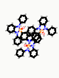 O=P1(c2ccc3c(c2)c2cc(P4(=O)N(c5ccccc5)c5ccccc5N4c4ccccc4)ccc2n3P2(=O)N(c3ccccc3)c3ccccc3N2c2ccccc2)N(c2ccccc2)c2ccccc2N1c1ccccc1